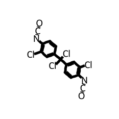 O=C=Nc1ccc(C(Cl)(Cl)c2ccc(N=C=O)c(Cl)c2)cc1Cl